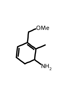 COCC1=C(C)C(N)CC=C1